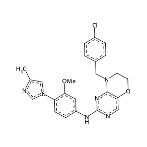 COc1cc(Nc2ncc3c(n2)N(Cc2ccc(Cl)cc2)CCO3)ccc1-n1cnc(C)c1